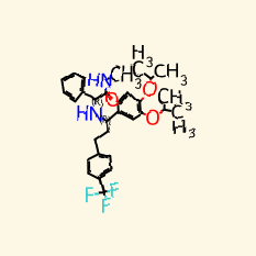 CNC(=O)[C@H](N[C@H](CCc1ccc(C(F)(F)F)cc1)c1ccc(OC(C)C)c(OC(C)C)c1)c1ccccc1